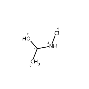 CC(O)NCl